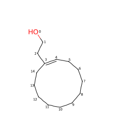 OCCC1=CCCCCCCCCCC1